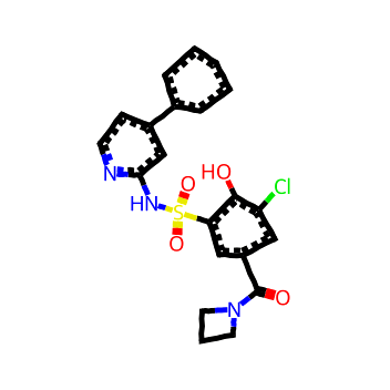 O=C(c1cc(Cl)c(O)c(S(=O)(=O)Nc2cc(-c3ccccc3)ccn2)c1)N1CCC1